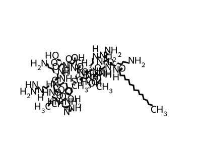 CCCCCCCCCCCCCCCC(=O)N[C@@H](CCCCN)C(=O)N[C@@H](CCCCN)C(=O)N[C@@H](CC(C)C)C(=O)N[C@@H](CCCNC(=N)N)C(=O)N[C@@H](CO)C(=O)N[C@H](CCSC)C(=O)N[C@H](C(=O)N[C@@H](CC(=O)O)C(=O)N[C@@H](CCCCN)C(=O)N[C@@H](Cc1ccc(O)cc1)C(=O)N[C@@H](CCCNC(=N)N)C(=O)N[C@@H](CC(C)C)C(=O)N[C@@H](Cc1c[nH]cn1)C(N)=O)[C@@H](C)O